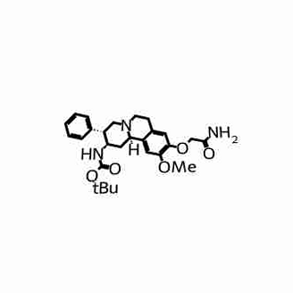 COc1cc2c(cc1OCC(N)=O)CCN1C[C@@H](c3ccccc3)[C@H](NC(=O)OC(C)(C)C)C[C@H]21